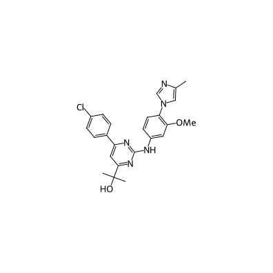 COc1cc(Nc2nc(-c3ccc(Cl)cc3)cc(C(C)(C)O)n2)ccc1-n1cnc(C)c1